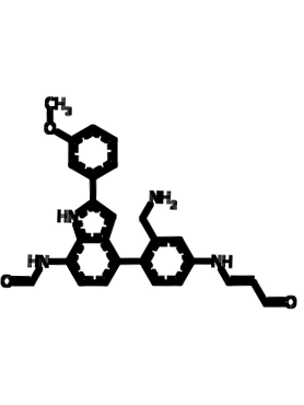 COc1cccc(-c2cc3c(-c4ccc(NC=CC=O)cc4CN)ccc(NC=O)c3[nH]2)c1